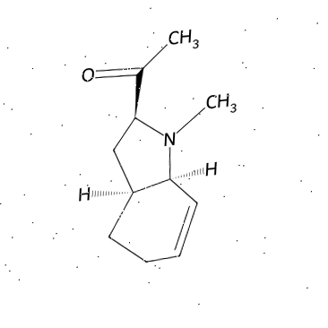 CC(=O)[C@@H]1C[C@@H]2CCC=C[C@@H]2N1C